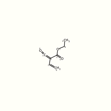 C=CC(=C=O)C(=O)OCC